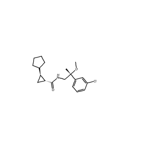 CO[C@@](C)(CNC(=O)[C@@H]1C[C@H]1C1CCCC1)c1cccc(Cl)c1